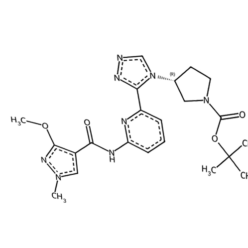 COc1nn(C)cc1C(=O)Nc1cccc(-c2nncn2[C@@H]2CCN(C(=O)OC(C)(C)C)C2)n1